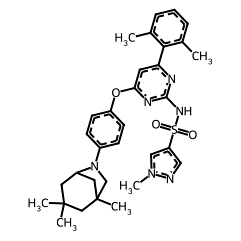 Cc1cccc(C)c1-c1cc(Oc2ccc(N3CC4(C)CC3CC(C)(C)C4)cc2)nc(NS(=O)(=O)c2cnn(C)c2)n1